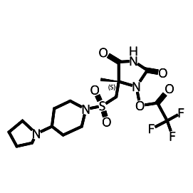 C[C@@]1(CS(=O)(=O)N2CCC(N3CCCC3)CC2)C(=O)NC(=O)N1OC(=O)C(F)(F)F